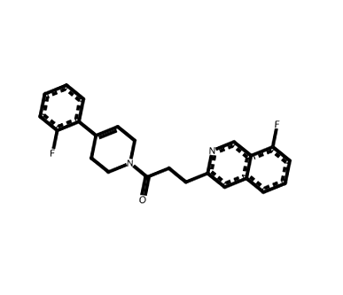 O=C(CCc1cc2cccc(F)c2cn1)N1CC=C(c2ccccc2F)CC1